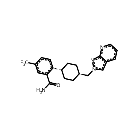 NC(=O)c1cc(C(F)(F)F)ccc1[C@H]1CC[C@H](Cn2cc3cccnc3n2)CC1